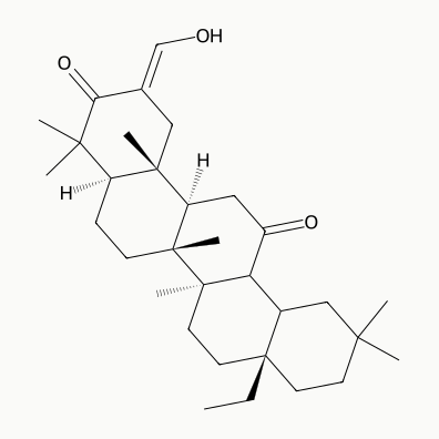 CC[C@]12CCC(C)(C)CC1C1C(=O)C[C@@H]3[C@@]4(C)CC(=CO)C(=O)C(C)(C)[C@@H]4CC[C@@]3(C)[C@]1(C)CC2